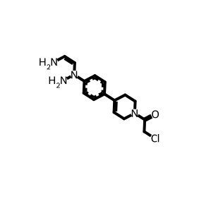 N/C=C\N(N)c1ccc(C2=CCN(C(=O)CCl)CC2)cc1